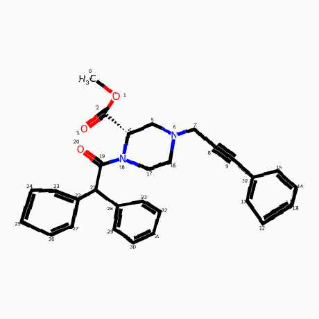 COC(=O)[C@@H]1CN(CC#Cc2ccccc2)CCN1C(=O)C(c1ccccc1)c1ccccc1